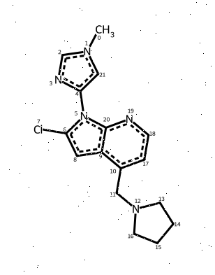 Cn1cnc(-n2c(Cl)cc3c(CN4CCCC4)ccnc32)c1